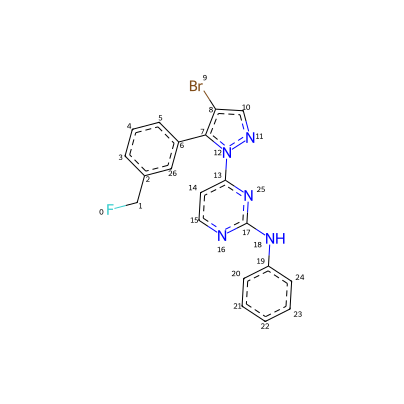 FCc1cccc(-c2c(Br)cnn2-c2ccnc(Nc3ccccc3)n2)c1